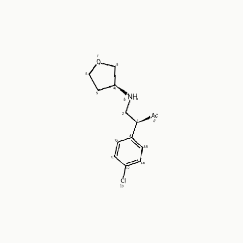 CC(=O)[C@H](CN[C@H]1CCOC1)c1ccc(Cl)cc1